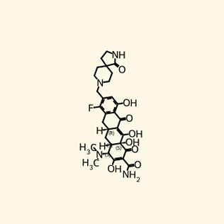 CN(C)[C@@H]1C(O)=C(C(N)=O)C(=O)[C@@]2(O)C(O)=C3C(=O)c4c(O)cc(CN5CCC6(CCNC6=O)CC5)c(F)c4C[C@H]3C[C@@H]12